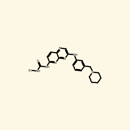 CCNC(=O)Nc1ccc2ncc(Nc3cccc(CN4CCCCC4)c3)nc2n1